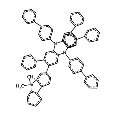 C[Si]1(C)c2ccccc2-c2ccc(-c3cc(N(c4ccc(-c5ccccc5)cc4)c4ccc(-c5ccccc5)cc4)c(N(c4ccc(-c5ccccc5)cc4)c4ccc(-c5ccccc5)cc4)cc3-c3ccccc3)cc21